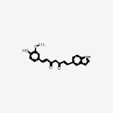 COc1cc(C=CC(=O)CC(=O)C=Cc2ccc3[nH]ccc3c2)ccc1O